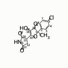 CC1(c2ccc(Cl)cc2)OC(C2CC(=O)NC2=O)=C(O)C1=O